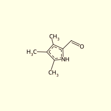 Cc1[nH]c(C=O)c(C)c1C